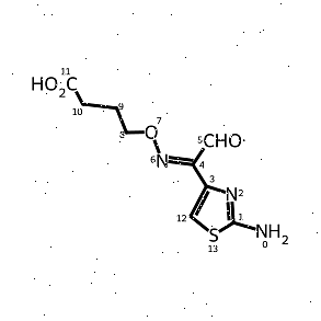 Nc1nc(C([C]=O)=NOCCCC(=O)O)cs1